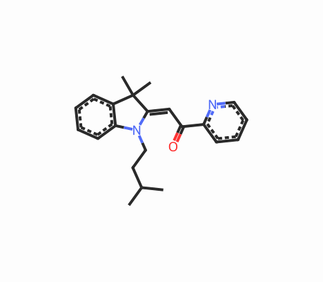 CC(C)CCN1/C(=C\C(=O)c2ccccn2)C(C)(C)c2ccccc21